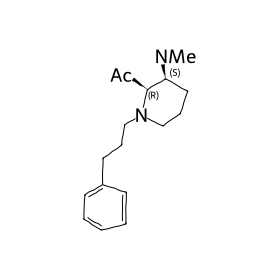 CN[C@H]1CCCN(CCCc2ccccc2)[C@H]1C(C)=O